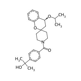 CC(C)O[C@H]1CC2(CCN(C(=O)c3ccc(C(C)(C)O)cc3)CC2)Oc2ccccc21